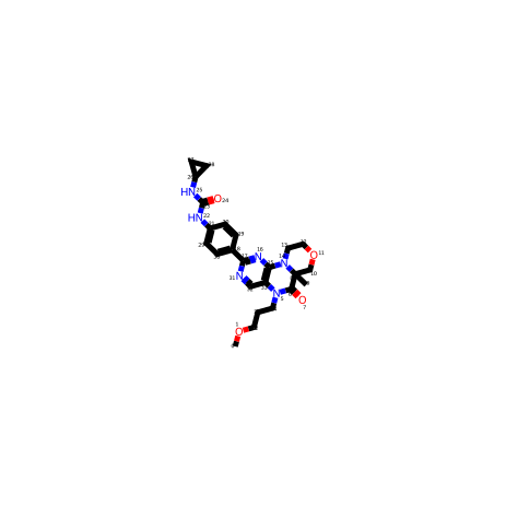 COCCCN1C(=O)C2(C)COCCN2c2nc(-c3ccc(NC(=O)NC4CC4)cc3)ncc21